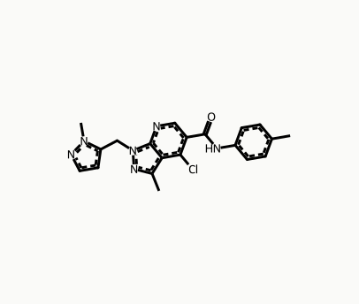 Cc1ccc(NC(=O)c2cnc3c(c(C)nn3Cc3ccnn3C)c2Cl)cc1